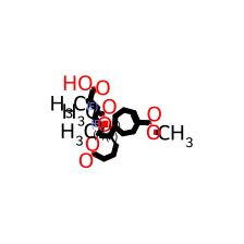 COC(=O)C1=CCC[C@@](OC(C)=O)([C@H]2CCCC(=O)O[C@]2(C)/C=C/C=C(\C)C(=O)O)CC1